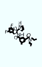 CCCN(CCC)C(=O)c1cc(C)cc(C(=O)N[C@@H](Cc2cc(F)cc(F)c2)[C@H](O)[C@H]2CCCN2)c1